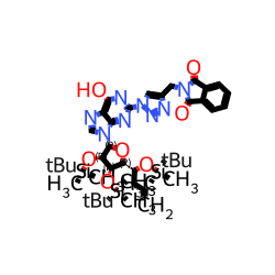 C=CCC(O[Si](C)(C)C(C)(C)C)[C@H]1O[C@@H](n2cnc3c(O)nc(-n4cc(CN5C(=O)c6ccccc6C5=O)nn4)nc32)[C@H](O[Si](C)(C)C(C)(C)C)[C@@H]1O[Si](C)(C)C(C)(C)C